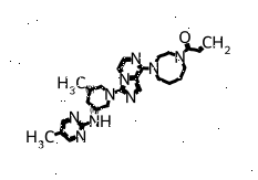 C=CC(=O)N1CCCCN(c2nccn3c(N4C[C@H](C)C[C@@H](Nc5ncc(C)cn5)C4)ncc23)CC1